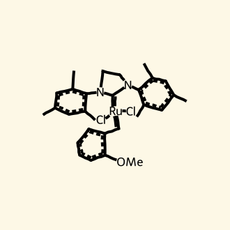 COc1ccccc1[CH]=[Ru]([Cl])([Cl])=[C]1N(c2c(C)cc(C)cc2C)CCN1c1c(C)cc(C)cc1C